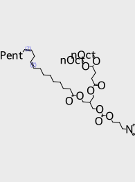 CCCCC/C=C\C/C=C\CCCCCCCC(=O)OCC(COC(=O)CCC(OCCCCCCCC)OCCCCCCCC)COC(=O)OCCCn1cccc1